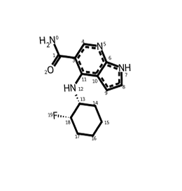 NC(=O)c1cnc2[nH]ccc2c1N[C@@H]1CCCC[C@@H]1F